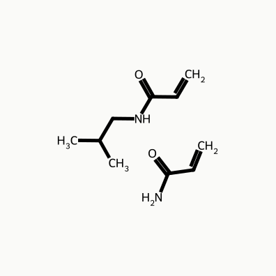 C=CC(=O)NCC(C)C.C=CC(N)=O